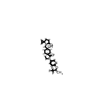 C[C@H](Oc1ccc(N2CC[C@]3(CC[C@@](O)(CN4C(=O)CCC45CC5)CC3)C2=O)cn1)C(F)(F)F